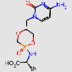 CC(C)[C@H](NP1(=O)CO[C@@H](Cn2ccc(N)nc2=O)CO1)C(=O)O